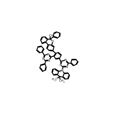 CC1(C)c2ccccc2N(c2nc(-c3ccccc3)nc(-c3ccc(-c4ccc5c(c4)OC(C)(c4ccccc4)c4ccccc4-5)c(-c4nc(-c5ccccc5)nc(-c5ccccc5)n4)c3)n2)c2ccccc21